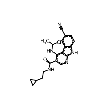 CC(C)Nc1c(C(=O)NCCC2CC2)cnc2[nH]c3ccc(C#N)cc3c12